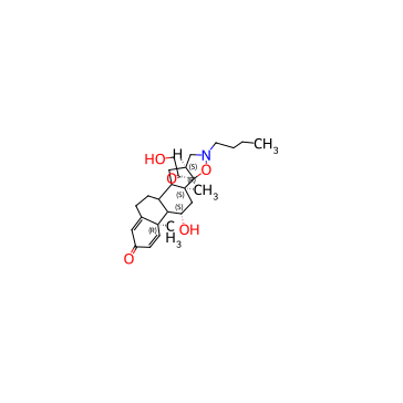 CCCCN1C[C@@H]2CC3C4CCC5=CC(=O)C=C[C@]5(C)C4[C@@H](O)C[C@]3(C)[C@]2(C(=O)CO)O1